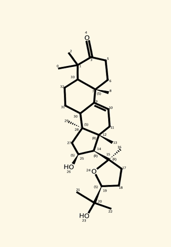 CC1(C)C(=O)CC[C@]2(C)C3=CC[C@]4(C)[C@@H]([C@@]5(C)CC[C@@H](C(C)(C)O)O5)[C@@H](O)C[C@@]4(C)C3CCC12